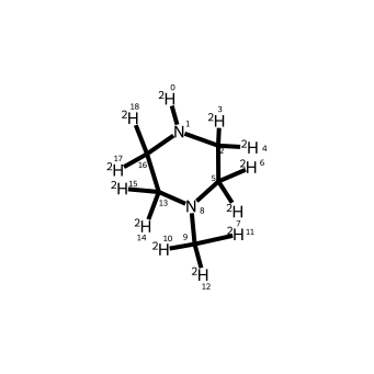 [2H]N1C([2H])([2H])C([2H])([2H])N(C([2H])([2H])[2H])C([2H])([2H])C1([2H])[2H]